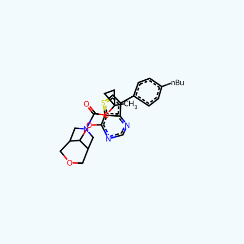 CCCCc1ccc(-c2csc3c(OC4C5COCC4CN(C(=O)OC4(C)CC4)C5)ncnc23)cc1